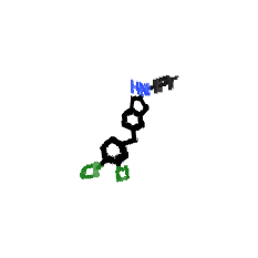 CC(C)NC1Cc2ccc(Cc3ccc(Cl)c(Cl)c3)cc2C1